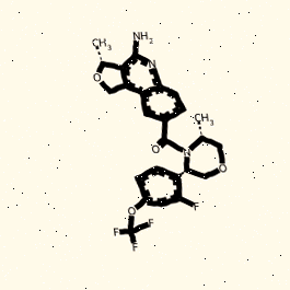 C[C@@H]1COC[C@H](c2ccc(OC(F)(F)F)cc2F)N1C(=O)c1ccc2nc(N)c3c(c2c1)CO[C@@H]3C